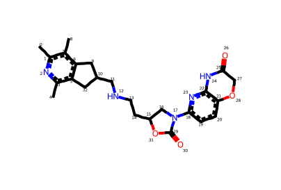 Cc1nc(C)c2c(c1C)CC(CNCCC1CN(c3ccc4c(n3)NC(=O)CO4)C(=O)O1)C2